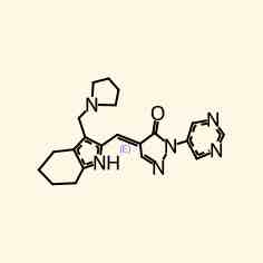 O=C1/C(=C/c2[nH]c3c(c2CN2CCCC2)CCCC3)C=NN1c1cncnc1